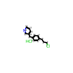 Cl.ClCCCc1ccc(Cc2cccnc2)cc1